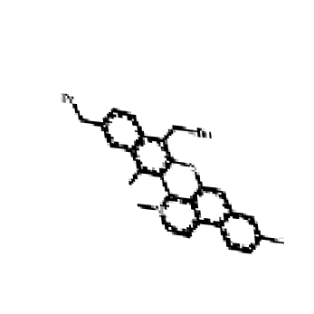 Cc1c2c(c(CC(C)(C)C)c3ccc(CC(C)C)cc13)Sc1cc3cc(F)ccc3c3cc[n+](C)c-2c13